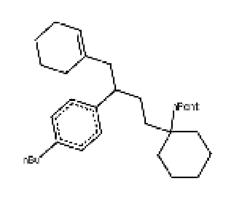 CCCCCC1(CCC(CC2=CCCCC2)c2ccc(CCCC)cc2)CCCCC1